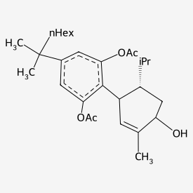 CCCCCCC(C)(C)c1cc(OC(C)=O)c(C2C=C(C)C(O)C[C@H]2C(C)C)c(OC(C)=O)c1